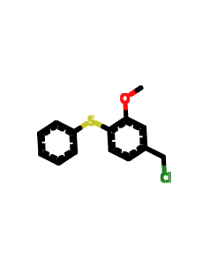 COc1cc(CCl)ccc1Sc1ccccc1